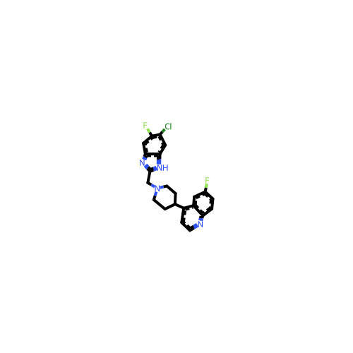 Fc1ccc2nccc(C3CCN(Cc4nc5cc(F)c(Cl)cc5[nH]4)CC3)c2c1